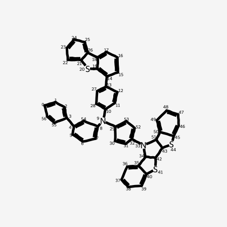 c1ccc(-c2cccc(N(c3ccc(-c4cccc5c4sc4ccccc45)cc3)c3ccc(N4C5c6ccccc6SC5C5Sc6ccccc6C54)cc3)c2)cc1